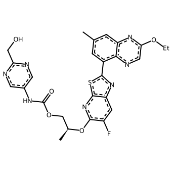 CCOc1cnc2c(-c3nc4cc(F)c(O[C@@H](C)COC(=O)Nc5cnc(CO)nc5)nc4s3)cc(C)cc2n1